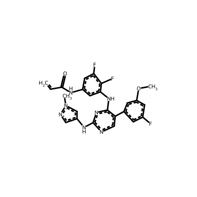 C=CC(=O)Nc1cc(F)c(F)c(Nc2nc(Nc3cnn(C)c3)ncc2-c2cc(F)cc(OC)c2)c1